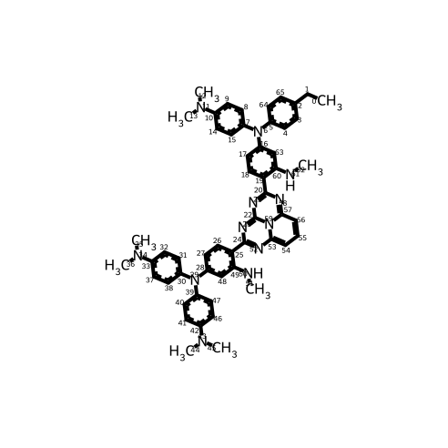 CCc1ccc(N(c2ccc(N(C)C)cc2)c2ccc(C3=NC4=NC(c5ccc(N(c6ccc(N(C)C)cc6)c6ccc(N(C)C)cc6)cc5NC)=NC5=CC=CC(=N3)N54)c(NC)c2)cc1